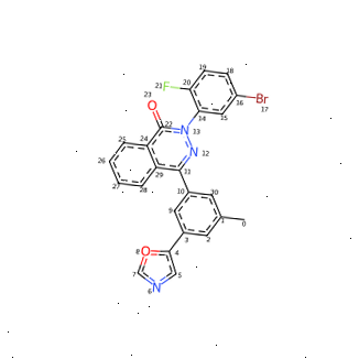 Cc1cc(-c2cnco2)cc(-c2nn(-c3cc(Br)ccc3F)c(=O)c3ccccc23)c1